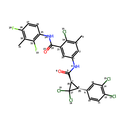 Cc1cc(NC(=O)[C@H]2[C@H](c3ccc(Cl)c(Cl)c3)C2(Cl)Cl)cc(C(=O)Nc2ccc(F)c(C)c2F)c1Cl